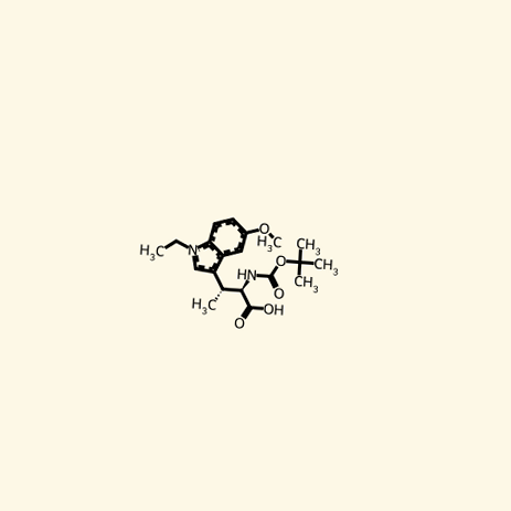 CCn1cc([C@@H](C)[C@@H](NC(=O)OC(C)(C)C)C(=O)O)c2cc(OC)ccc21